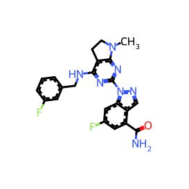 CN1CCc2c(NCc3cccc(F)c3)nc(-n3ncc4c(C(N)=O)cc(F)cc43)nc21